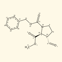 COC(=O)[C@@H]1[C@@H](C=O)CCN1C(=O)OCc1ccccc1